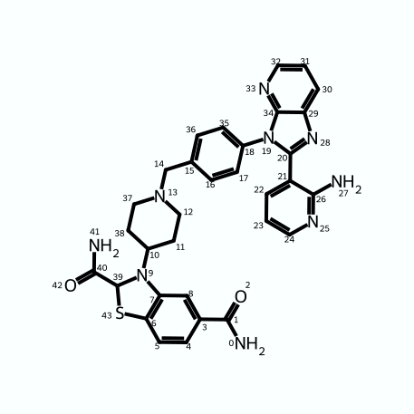 NC(=O)c1ccc2c(c1)N(C1CCN(Cc3ccc(-n4c(-c5cccnc5N)nc5cccnc54)cc3)CC1)C(C(N)=O)S2